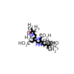 C=CC1=C(C)/C(=C/c2[nH]c(Cc3[nH]c(/C=C(NC)/C(C=C)=C(/C)C=O)c(C)c3CCC(=O)O)c(CCC(=O)O)c2C)NC1=O